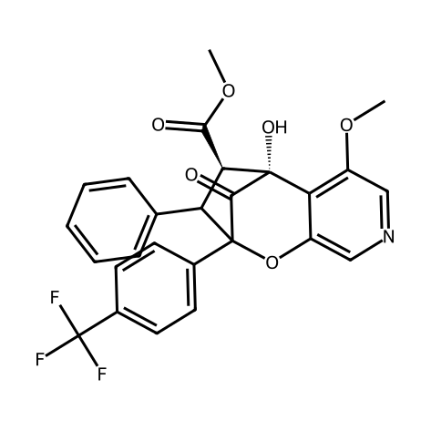 COC(=O)[C@@H]1C(c2ccccc2)C2(c3ccc(C(F)(F)F)cc3)Oc3cncc(OC)c3[C@@]1(O)C2=O